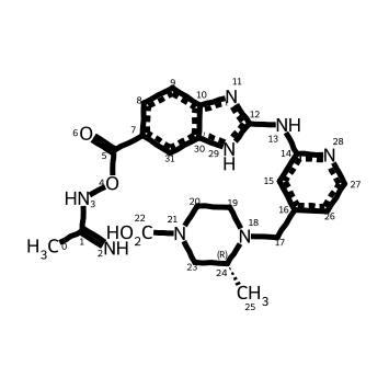 CC(=N)NOC(=O)c1ccc2nc(Nc3cc(CN4CCN(C(=O)O)C[C@H]4C)ccn3)[nH]c2c1